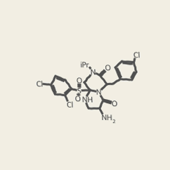 CC(C)N1CC2(S(=O)(=O)c3ccc(Cl)cc3Cl)NCC(N)C(=O)N2C(Cc2ccc(Cl)cc2)C1=O